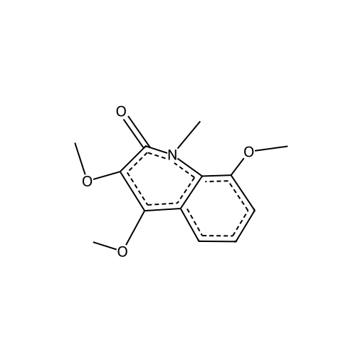 COc1c(OC)c2cccc(OC)c2n(C)c1=O